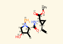 C=C[C@@H]1C[C@]1(NC(=O)[C@@H]1C(C)[C@@H](O)CN1P)C(=O)OCCC